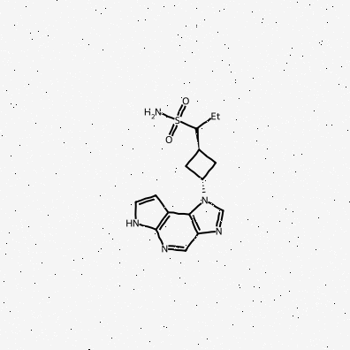 CCC([C@H]1C[C@H](n2cnc3cnc4[nH]ccc4c32)C1)S(N)(=O)=O